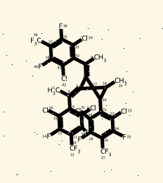 C/C(=C1/C(=C(\C)c2c(Cl)c(F)c(C(F)(F)F)c(F)c2Cl)C12C(C)C2c1c(Cl)c(F)c(C(F)(F)F)c(F)c1Cl)c1c(Cl)c(F)c(C(F)(F)F)c(F)c1Cl